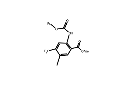 COC(=O)c1cc(C)c(C(F)(F)F)cc1NC(=O)OC(C)C